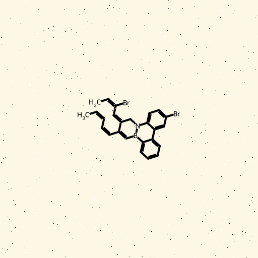 C/C=C\C=C/C1=CB2c3ccccc3-c3cc(Br)ccc3N2C/C1=C\C(Br)=C/C